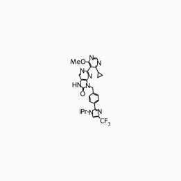 COc1ncnc(C2CC2)c1-c1ncc2[nH]c(=O)n(Cc3ccc(-c4nc(C(F)(F)F)cn4C(C)C)cc3)c2n1